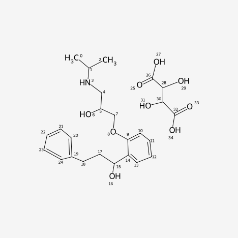 CC(C)NCC(O)COc1ccccc1C(O)CCc1ccccc1.O=C(O)C(O)C(O)C(=O)O